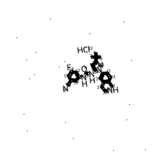 CC(C)(C)c1cc(NC(=O)Nc2cc(F)cc(C#N)c2)n(-c2ccc3c(c2)CCNC3)n1.Cl